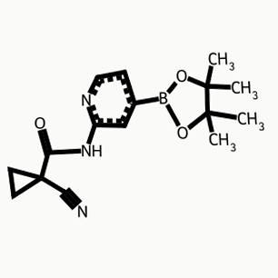 CC1(C)OB(c2ccnc(NC(=O)C3(C#N)CC3)c2)OC1(C)C